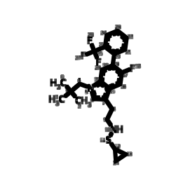 CC(C)(C)Cn1cc(CCNSC2CC2)c2cc(F)c(-c3ccccc3C(F)(F)F)cc21